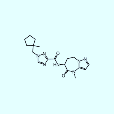 CN1C(=O)[C@@H](NC(=O)c2ncn(CC3(C)CCCC3)n2)CCn2nccc21